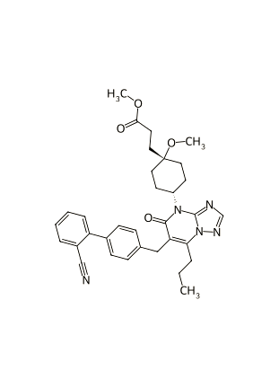 CCCc1c(Cc2ccc(-c3ccccc3C#N)cc2)c(=O)n([C@H]2CC[C@@](CCC(=O)OC)(OC)CC2)c2ncnn12